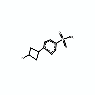 NS(=O)(=O)c1ccc(C2CC(O)C2)cc1